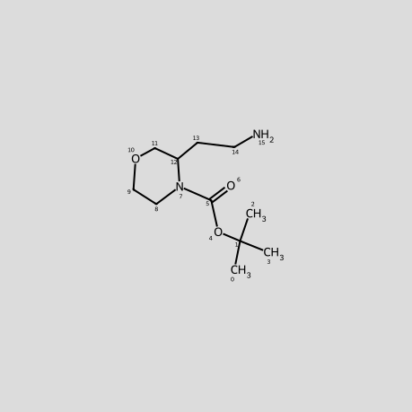 CC(C)(C)OC(=O)N1CCOCC1CCN